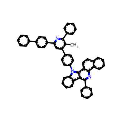 Cc1c(-c2ccc(-n3c4ccccc4c4c(-c5ccccc5)nc5c6ccccc6ccc5c43)cc2)cc(-c2ccc(-c3ccccc3)cc2)nc1-c1ccccc1